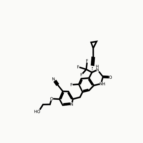 N#Cc1cc(Cc2cc3c(cc2F)[C@@](C#CC2CC2)(C(F)(F)F)NC(=O)N3)ncc1OCCO